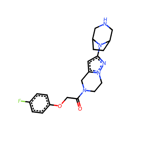 O=C(COc1ccc(F)cc1)N1CCn2nc(N3C4CCC3CNC4)cc2C1